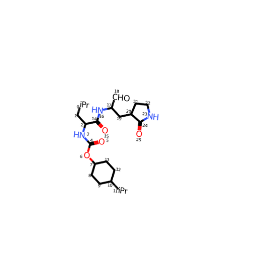 CC(C)CC(NC(=O)OC1CCC(C(C)C)CC1)C(=O)NC(C=O)CC1CCNC1=O